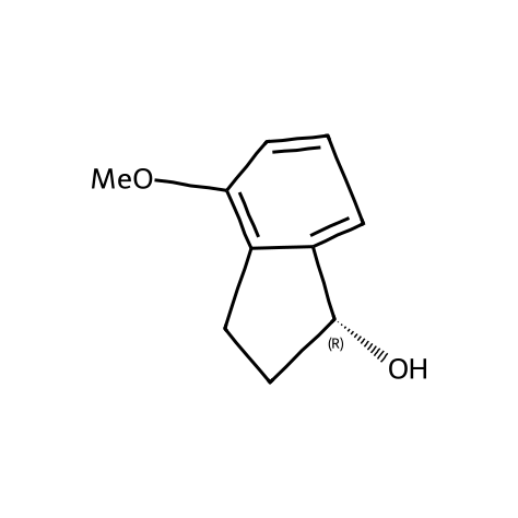 COc1cccc2c1CC[C@H]2O